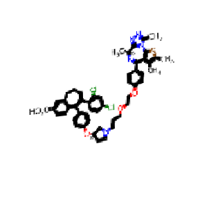 Cc1sc2c(c1C)C(c1ccc(OCCOCCCN3CC[C@H](Oc4ccc(C5=C(c6ccc(Cl)cc6Cl)CCCc6cc(C(=O)O)ccc65)cc4)C3)cc1)=N[C@@H](C)c1nnc(C)n1-2